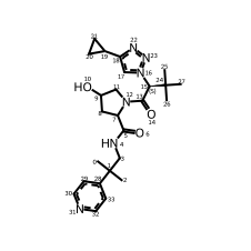 CC(C)(CNC(=O)C1CC(O)CN1C(=O)[C@@H](n1cc(C2CC2)nn1)C(C)(C)C)c1ccncc1